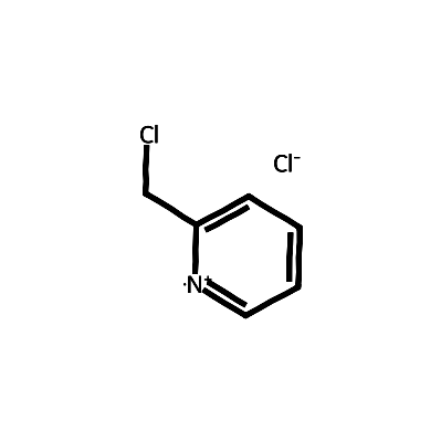 ClCC1=CC=CC=[N+]1.[Cl-]